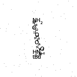 C[C@H](NC(=O)CCOCCOCCOCCN)C(C)(C)C